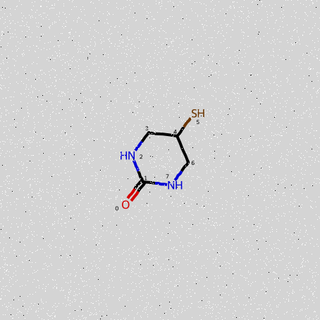 O=C1NCC(S)CN1